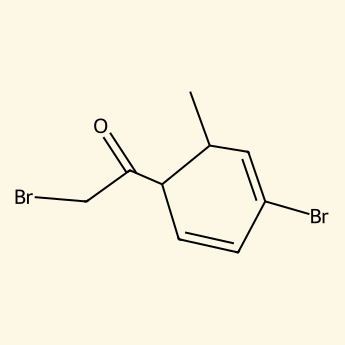 CC1C=C(Br)C=CC1C(=O)CBr